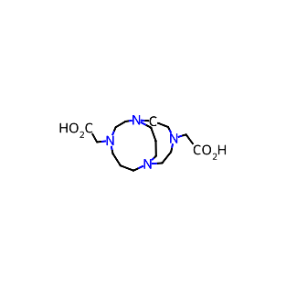 O=C(O)CN1CCCN2CCCN(CC1)CCN(CC(=O)O)CC2